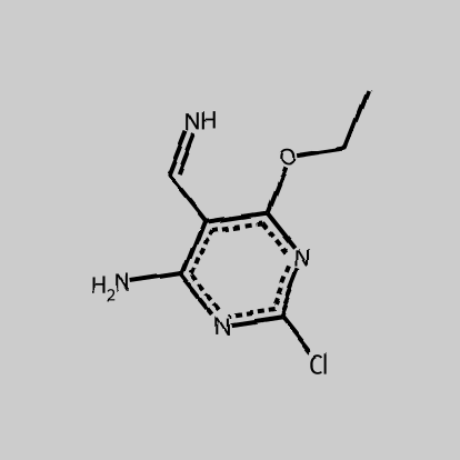 CCOc1nc(Cl)nc(N)c1C=N